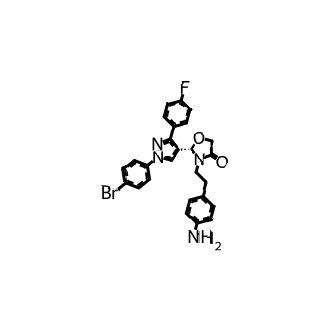 Nc1ccc(CCN2C(=O)CO[C@H]2c2cn(-c3ccc(Br)cc3)nc2-c2ccc(F)cc2)cc1